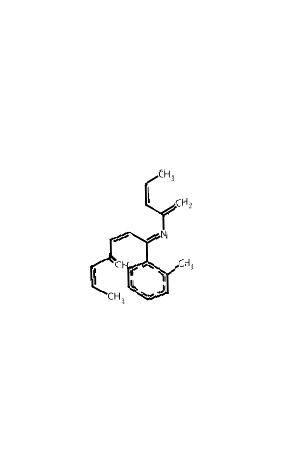 C=C(/C=C\C)/C=C\C(=N/C(=C)/C=C\C)c1ccccc1C